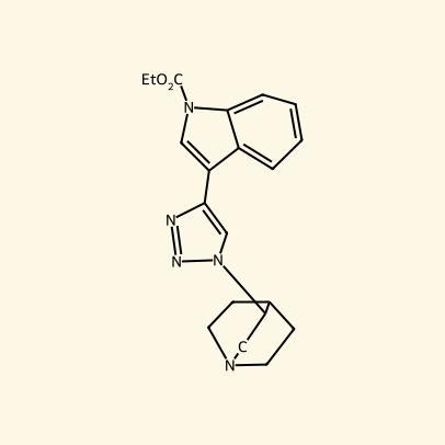 CCOC(=O)n1cc(-c2cn(C3CN4CCC3CC4)nn2)c2ccccc21